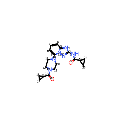 O=C(Nc1nc2cccc(N3CCN(C(=O)C4CC4)CC3)n2n1)C1CC1